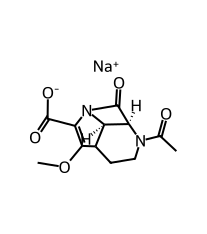 COC1=C(C(=O)[O-])N2C(=O)[C@@H]3[C@H]2C1CCN3C(C)=O.[Na+]